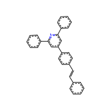 C(=C\c1ccc(-c2cc(-c3ccccc3)nc(-c3ccccc3)c2)cc1)/c1ccccc1